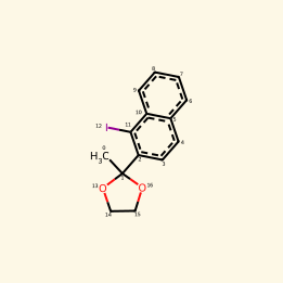 CC1(c2ccc3ccccc3c2I)OCCO1